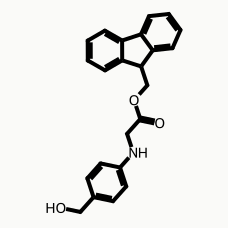 O=C(CNc1ccc(CO)cc1)OCC1c2ccccc2-c2ccccc21